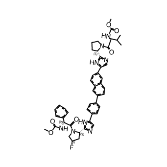 COC(=O)NC(C(=O)N1CCC[C@H]1c1ncc(-c2ccc3cc(-c4ccc(-c5cnc([C@@H]6C[C@@H](F)CN6C(=O)[C@H](NC(=O)OC)c6ccccc6)[nH]5)cc4)ccc3c2)[nH]1)C(C)C